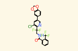 O=C(NCC(F)(F)c1ncc(-c2ccc3c(c2)OCO3)cc1Cl)c1ccccc1C(F)(F)F